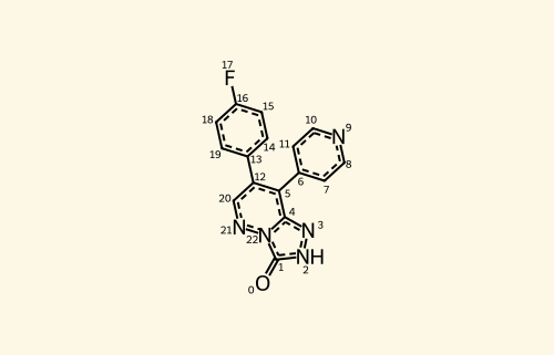 O=c1[nH]nc2c(-c3ccncc3)c(-c3ccc(F)cc3)cnn12